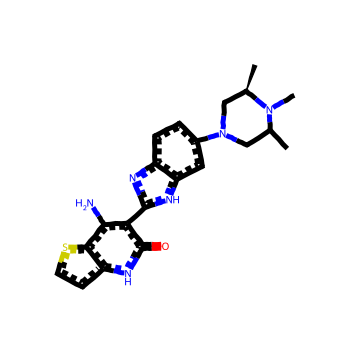 CC1CN(c2ccc3nc(-c4c(N)c5sccc5[nH]c4=O)[nH]c3c2)C[C@@H](C)N1C